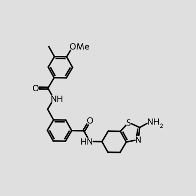 COc1ccc(C(=O)NCc2cccc(C(=O)NC3CCc4nc(N)sc4C3)c2)cc1C